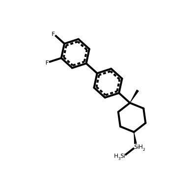 C[C@]1(c2ccc(-c3ccc(F)c(F)c3)cc2)CC[C@H]([SiH2][SiH3])CC1